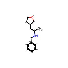 CC(CC1CCOC1)NCc1ccccc1